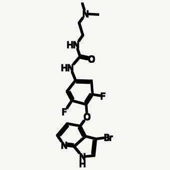 CN(C)CCNC(=O)Nc1cc(F)c(Oc2ccnc3[nH]cc(Br)c23)c(F)c1